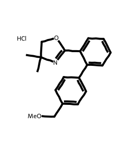 COCc1ccc(-c2ccccc2C2=NC(C)(C)CO2)cc1.Cl